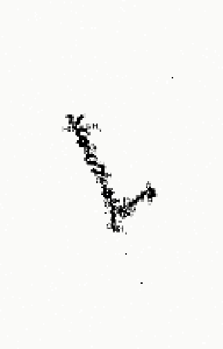 CCCN(CCC)C(O)C1=Cc2ccc(C(=O)Nc3ccc(N4CCC(NC(=O)OCc5ccc(NC(=O)C(CCCNC(N)=O)NC(=O)C(NC(=O)CCCCCN6C(=O)C=CC6=O)C(C)C)cc5)CC4)nc3)cc2N=C(N)C1